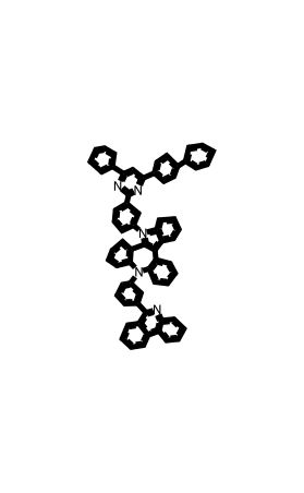 c1ccc(-c2ccc(-c3cc(-c4ccccc4)nc(-c4cccc(-n5c6c(c7ccccc75)-c5ccccc5N(c5cccc(-c7nc8ccccc8c8ccccc78)c5)c5ccccc5-6)c4)n3)cc2)cc1